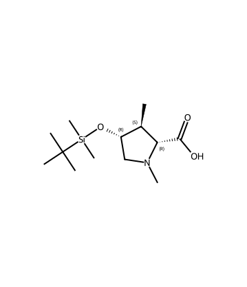 C[C@@H]1[C@@H](O[Si](C)(C)C(C)(C)C)CN(C)[C@H]1C(=O)O